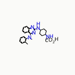 Cc1ccccc1N(C)c1nc(NC2CCC(NC(=O)O)CC2)nc2ccccc12